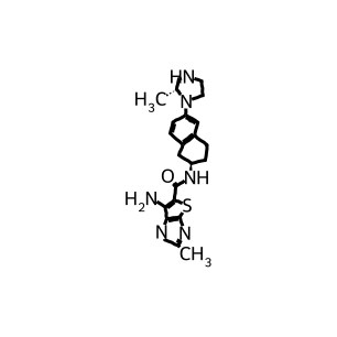 Cc1cnc2c(N)c(C(=O)N[C@@H]3CCc4cc(N5CCNC[C@H]5C)ccc4C3)sc2n1